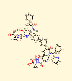 O=C(NC1(C(=O)O)CC1)c1nc(-c2cccnc2)c2c(cc(-c3ccccc3)c(=O)n2Cc2ccccc2)c1O.O=C(NC1(C(=O)O)CC1)c1ncc2c(cc(-c3ccccc3)c(=O)n2Cc2ccccc2)c1O